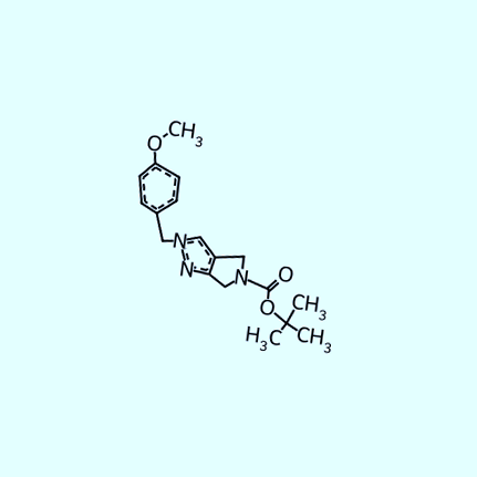 COc1ccc(Cn2cc3c(n2)CN(C(=O)OC(C)(C)C)C3)cc1